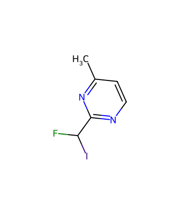 Cc1ccnc(C(F)I)n1